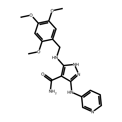 COc1cc(OC)c(OC)cc1CNc1[nH]nc(Nc2cccnc2)c1C(N)=O